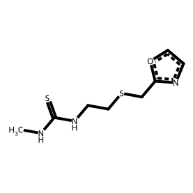 CNC(=S)NCCSCc1ncco1